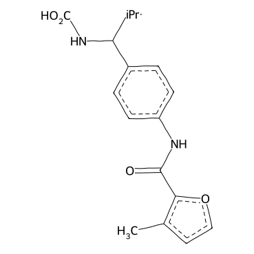 C[C](C)C(NC(=O)O)c1ccc(NC(=O)c2occc2C)cc1